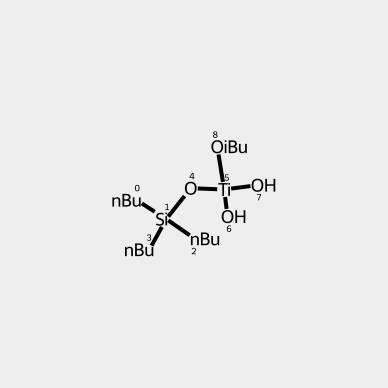 CCCC[Si](CCCC)(CCCC)[O][Ti]([OH])([OH])[O]CC(C)C